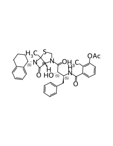 CC(=O)Oc1cccc(C(=O)N[C@@H](Cc2ccccc2)[C@H](O)C(=O)N2CSC3(C)[C@H]2C(=O)N3[C@H]2CCCc3ccccc32)c1C